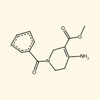 COC(=O)C1=C(N)CCN(C(=O)c2ccccc2)C1